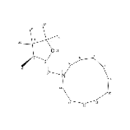 C[C@@H]1[C@@H](CN2CCCCCCCCCC2)OC(C)(C)C1(C)C